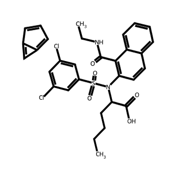 CCCCC(C(=O)O)N(c1ccc2ccccc2c1C(=O)NCC)S(=O)(=O)c1cc(Cl)cc(Cl)c1.c1cc2cc-2c1